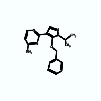 CC(C)n1ncc(-c2nccc(N)n2)c1OCc1ccccc1